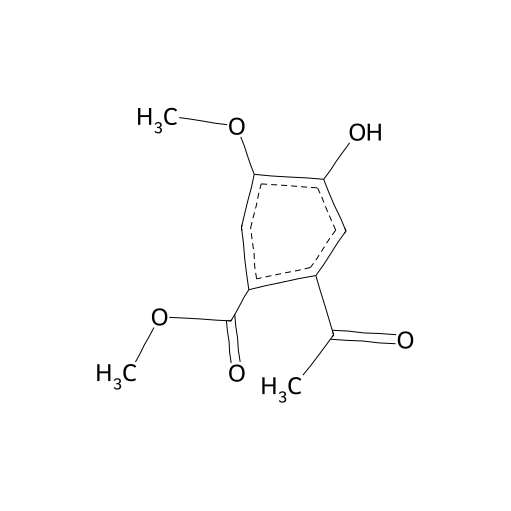 COC(=O)c1cc(OC)c(O)cc1C(C)=O